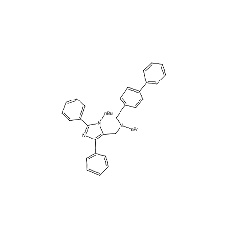 CCCCn1c(-c2ccccc2)nc(-c2ccccc2)c1CN(CCC)Cc1ccc(-c2ccccc2)cc1